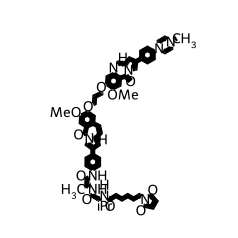 COc1cc2c(cc1OCCCOc1cc3c(cc1OC)C(=O)N1C=C(c4ccc(N5CCN(C)CC5)cc4)C[C@H]1C=N3)C=C[C@@H]1CC(c3ccc(NC(=O)[C@H](C)NC(=O)C(NC(=O)CCCCCN4C(=O)C=CC4=O)C(C)C)cc3)=CN1C2=O